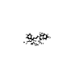 C=CCC(CCCN(C(=O)OC(C)(C)C)[C@@H](C)c1ccc(Br)cc1)(N[S+]([O-])C(C)(C)C)c1ccccc1